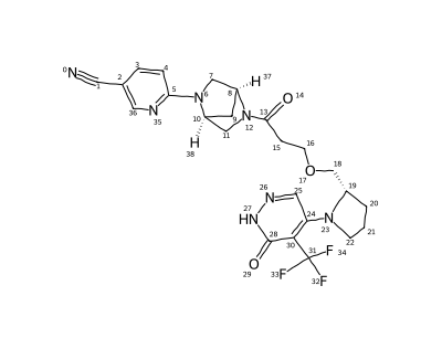 N#Cc1ccc(N2C[C@@H]3C[C@H]2CN3C(=O)CCOC[C@@H]2CCCN2c2cn[nH]c(=O)c2C(F)(F)F)nc1